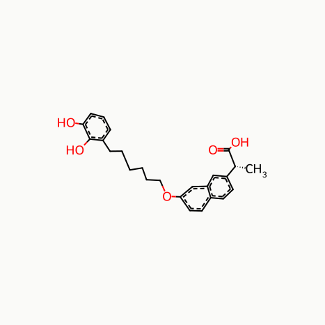 C[C@@H](C(=O)O)c1ccc2ccc(OCCCCCCc3cccc(O)c3O)cc2c1